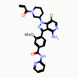 C=CC(=O)N1CCCC(n2nc(-c3ccc(C(=O)Nc4ccccn4)cc3OC)c3c(N)ncc(Cl)c32)C1